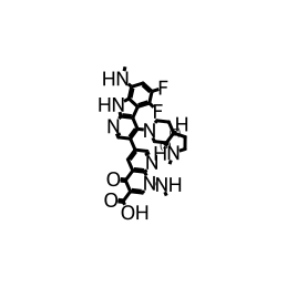 CNc1cc(F)c(F)c2c1[nH]c1ncc(-c3cnc4c(c3)c(=O)c(C(=O)O)cn4NC)c(N3CC[C@@H]4CCN(C)[C@@H]4C3)c12